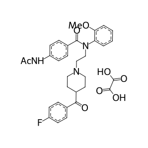 COc1ccccc1N(CCN1CCC(C(=O)c2ccc(F)cc2)CC1)C(=O)c1ccc(NC(C)=O)cc1.O=C(O)C(=O)O